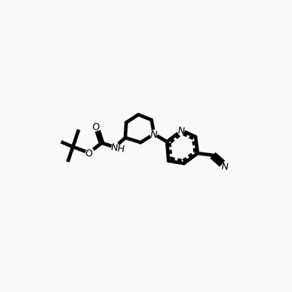 CC(C)(C)OC(=O)NC1CCCN(c2ccc(C#N)cn2)C1